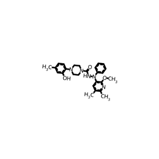 COc1nc(C)c(C)cc1N(NC(=O)N1CCN(c2ccc(C)cc2O)CC1)c1ccccc1